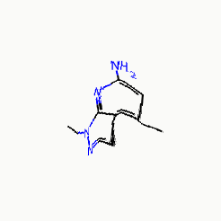 Cc1cc(N)nc2c1cnn2C